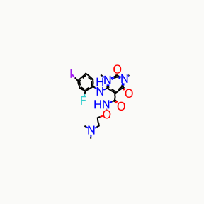 CN(C)CCONC(=O)c1c(Nc2ccc(I)cc2F)n(C)c(=O)n(C)c1=O